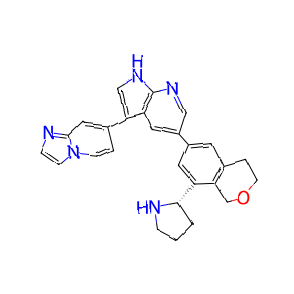 c1cn2ccc(-c3c[nH]c4ncc(-c5cc6c(c([C@@H]7CCCN7)c5)COCC6)cc34)cc2n1